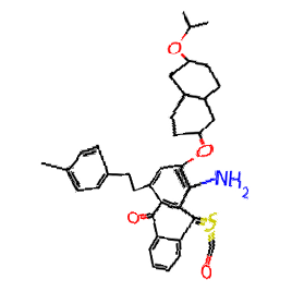 Cc1ccc(CCc2cc(OC3CCC4CC(OC(C)C)CCC4C3)c(N)c3c2C(=O)c2ccccc2C3=S=C=O)cc1